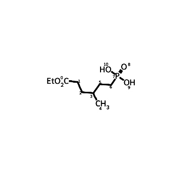 CCOC(=O)CCC(C)CCP(=O)(O)O